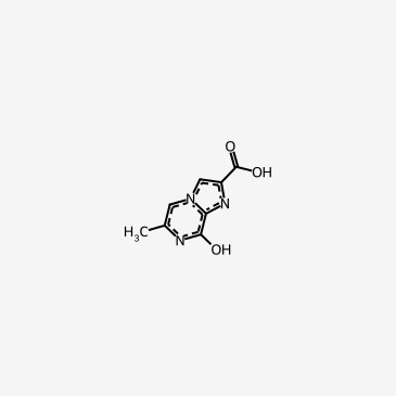 Cc1cn2cc(C(=O)O)nc2c(O)n1